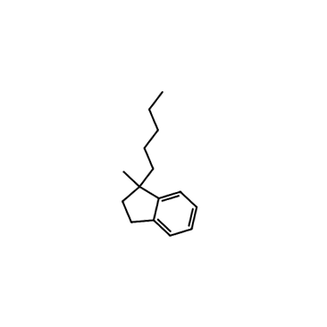 CCCCCC1(C)CCc2ccccc21